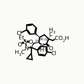 CCS(=O)(=O)N(C)[C@](C[C@@H]1NC(=O)[C@](C)(CC(=O)O)C[C@@H]1c1cccc(Cl)c1)(c1ccc(Cl)cc1)C1CC1